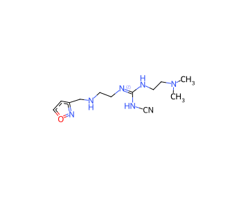 CN(C)CCN/C(=N/CCNCc1ccon1)NC#N